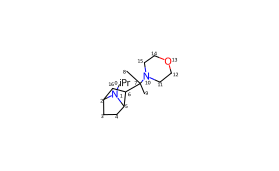 CC(C)N1C2CCC1C(C(C)(C)N1CCOCC1)C2